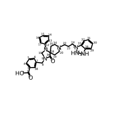 O=C(O)c1cccc(CN2CN(c3ccccc3)C3(CCN(CCCN4NNc5ccccc54)CC3)C2=O)c1